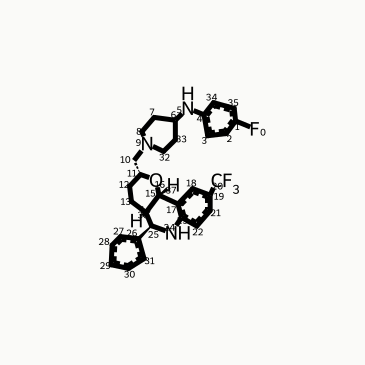 Fc1ccc(NC2CCN(C[C@H]3CC[C@@H]4[C@H](O3)c3cc(C(F)(F)F)ccc3N[C@H]4c3ccccc3)CC2)cc1